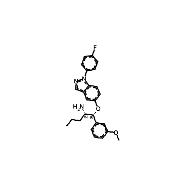 CCC[C@H](N)[C@H](Oc1ccc2c(cnn2-c2ccc(F)cc2)c1)c1cccc(OC)c1